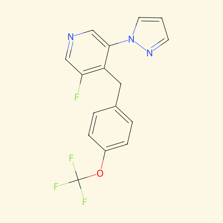 Fc1cncc(-n2cccn2)c1Cc1ccc(OC(F)(F)F)cc1